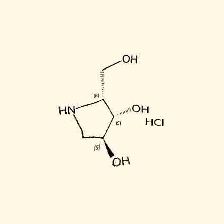 Cl.OC[C@H]1NC[C@H](O)[C@H]1O